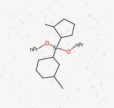 CCCO[Si](OCCC)(C1CCCC(C)C1)C1CCCC1C